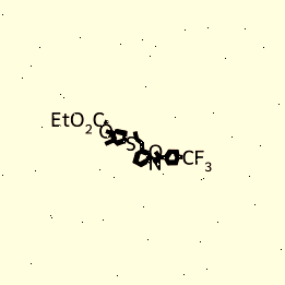 CCOC(=O)COc1ccc(SC(C)Cc2cccc3nc(-c4ccc(C(F)(F)F)cc4)oc23)cc1C